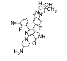 CC(C)(O)Cn1ncc2cc(-c3c(-c4cccc(C#N)c4F)nc(N4CCC(N)CC4)c4c3CNC4=O)c(F)cc21